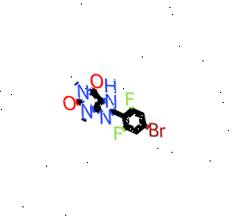 Cn1c(=O)c2[nH]c(-c3c(F)cc(Br)cc3F)nc2n(C)c1=O